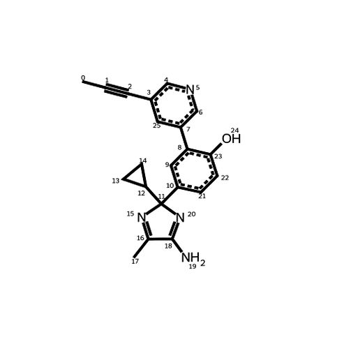 CC#Cc1cncc(-c2cc(C3(C4CC4)N=C(C)C(N)=N3)ccc2O)c1